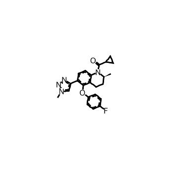 C[C@H]1CCc2c(ccc(-c3cn(C)nn3)c2Oc2ccc(F)cc2)N1C(=O)C1CC1